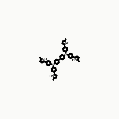 Cc1ccc(-c2ccc(N(c3ccc(-c4ccc(N(c5ccc(-c6ccc(C)[nH]6)cc5)c5ccc(-c6ccc(C)[nH]6)cc5)cc4)cc3)c3ccc(-c4ccc(C)[nH]4)cc3)cc2)[nH]1